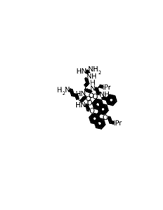 CC(C)CCOc1ccc2ccccc2c1-c1c(OCC(=O)N[C@H](CCCCN)C(=O)N[C@H](CCCNC(=N)N)C(=O)N[C@@H](CC(C)C)C(=O)NCc2ccccc2)ccc2ccccc12